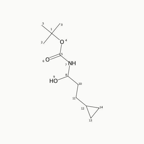 CC(C)(C)OC(=O)NC(O)CCC1CC1